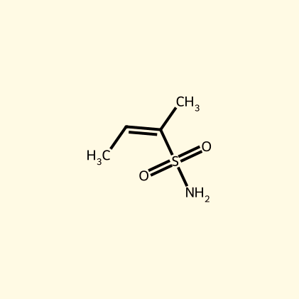 CC=C(C)S(N)(=O)=O